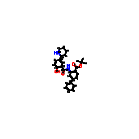 CC(C)(C)OC(=O)c1ccc(-c2ccccc2)cc1NC(=O)c1cc(C2CCCCN2)ccc1O